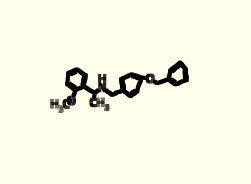 COc1ccccc1C(C)NCc1ccc(OCc2ccccc2)cc1